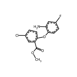 COC(=O)c1cc(Cl)ccc1Oc1ccc(F)cc1N